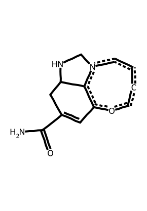 NC(=O)C1=Cc2occccn3c2C(C1)NC3